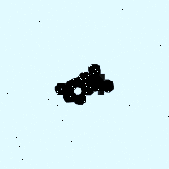 CC12c3cc(-c4nc(-c5ccccc5)nc(-c5ccccc5)n4)ccc3C3=CCCC(=C3)c3cccc4c3C3=CC1C(C=C3C41CCCCC1)c1ccccc12